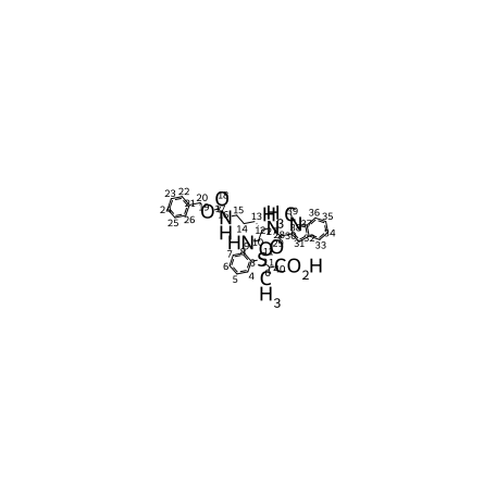 CC(Sc1ccccc1NC(=O)[C@H](CCCNC(=O)OCc1ccccc1)NC(=O)c1cc2ccccc2n1C)C(=O)O